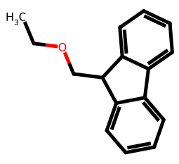 CCOCC1c2ccccc2-c2ccccc21